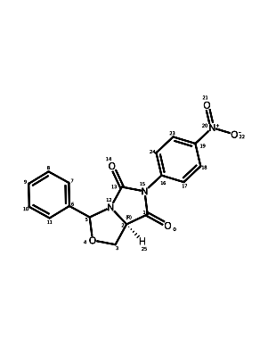 O=C1[C@H]2COC(c3ccccc3)N2C(=O)N1c1ccc([N+](=O)[O-])cc1